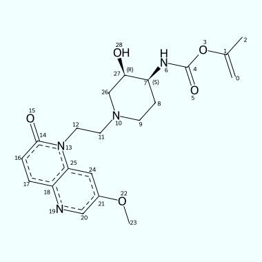 C=C(C)OC(=O)N[C@H]1CCN(CCn2c(=O)ccc3ncc(OC)cc32)C[C@H]1O